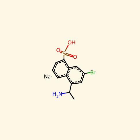 CC(N)c1cc(Br)cc2c(S(=O)(=O)O)cccc12.[Na]